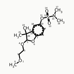 COCCOC1Oc2ccc(OS(=O)(=O)N(C)C)cc2C1(C)C